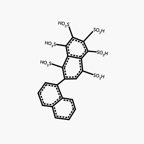 O=S(=O)(O)c1c(S(=O)(=O)O)c(S(=O)(=O)O)c2c(S(=O)(=O)O)c(-c3cccc4ccccc34)cc(S(=O)(=O)O)c2c1S(=O)(=O)O